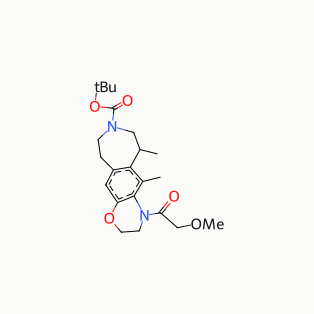 COCC(=O)N1CCOc2cc3c(c(C)c21)C(C)CN(C(=O)OC(C)(C)C)CC3